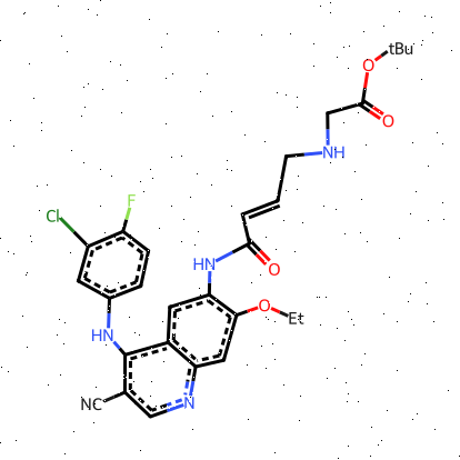 CCOc1cc2ncc(C#N)c(Nc3ccc(F)c(Cl)c3)c2cc1NC(=O)/C=C/CNCC(=O)OC(C)(C)C